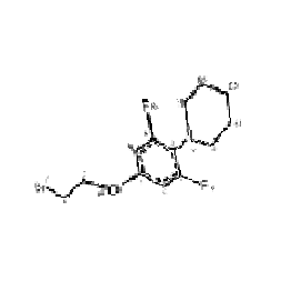 Fc1cc(OCCBr)cc(F)c1N1CCCCC1